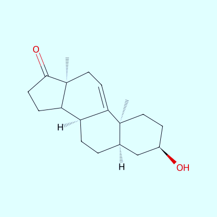 C[C@]12CC=C3[C@@H](CC[C@@H]4C[C@H](O)CC[C@]34C)C1CCC2=O